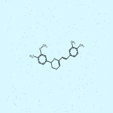 COc1cc(C2CCC=C(/C=C/c3ccc(C)c(C)c3)O2)ccc1C